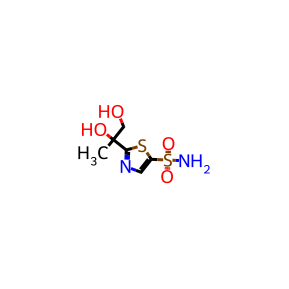 CC(O)(CO)c1ncc(S(N)(=O)=O)s1